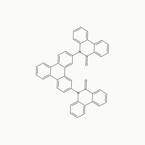 O=c1c2ccccc2c2ccccc2n1-c1ccc2c3ccccc3c3ccc(-n4c(=O)c5ccccc5c5ccccc54)cc3c2c1